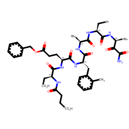 CCCC[C@H](NC(=O)[C@H](CC(C)C)NC(=O)[C@@H](NC(=O)[C@H](Cc1ccccc1C)NC(=O)[C@H](CCC(=O)OCc1ccccc1)NC(=O)[C@H](CC(=O)O)NC(=O)CCC(=O)O)C(C)(C)C)C(=O)C(N)=O